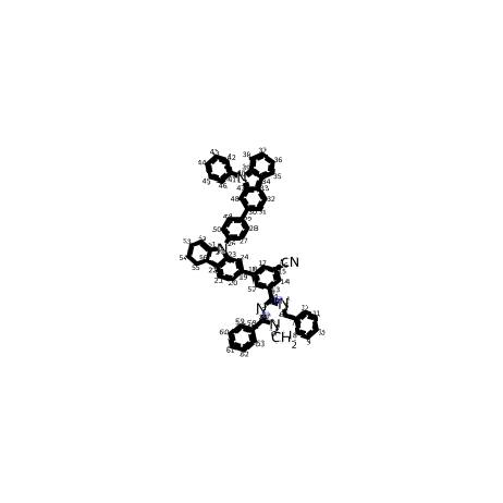 C=N/C(=N\C(=N/Cc1ccccc1)c1cc(C#N)cc(-c2ccc3c(c2)N(c2ccc(-c4ccc5c6ccccc6n(-c6ccccc6)c5c4)cc2)C2=CC=CCC23)c1)c1ccccc1